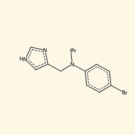 CC(C)N(Cc1c[nH]cn1)c1ccc(Br)cc1